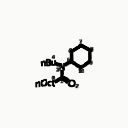 CCCCCCCCC(=O)N(CCCC)C1CCCCC1